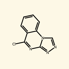 Clc1nc2nncn2c2ccccc12